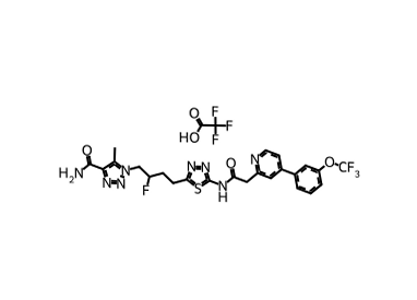 Cc1c(C(N)=O)nnn1CC(F)CCc1nnc(NC(=O)Cc2cc(-c3cccc(OC(F)(F)F)c3)ccn2)s1.O=C(O)C(F)(F)F